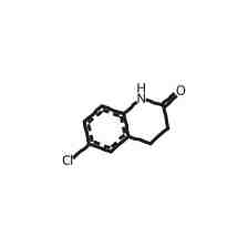 O=C1CCc2cc(Cl)ccc2N1